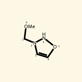 COCN1[C]=CON1